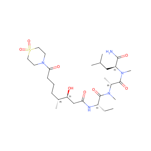 CC[C@H](NC(=O)C[C@H](O)[C@H](C)CCCC(=O)N1CCS(=O)(=O)CC1)C(=O)N(C)[C@H](C)C(=O)N(C)[C@@H](CC(C)C)C(N)=O